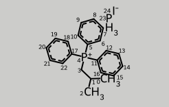 CC(C)C[P+](c1ccccc1)(c1ccccc1)c1ccccc1.P.[I-]